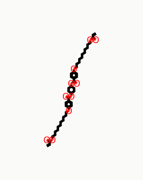 C=CC(=O)OCCCCCCCCCCCOc1ccc(C(=O)OC2CCC(OC(=O)c3ccc(OCCCCCCCCCCCOC(=O)C=C)cc3)CC2)cc1